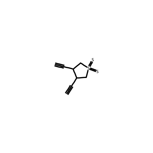 C#CC1CS(=S)(=S)CC1C#C